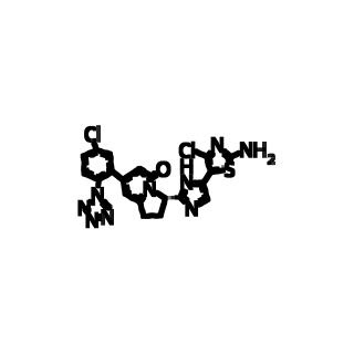 Nc1nc(Cl)c(-c2cnc([C@@H]3CCc4cc(-c5cc(Cl)ccc5-n5cnnn5)cc(=O)n43)[nH]2)s1